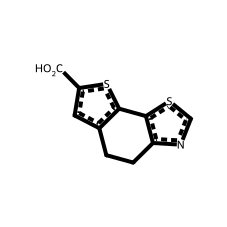 O=C(O)c1cc2c(s1)-c1scnc1CC2